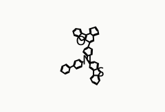 c1ccc(-c2ccc(N(c3ccc(-c4cc5ccccc5c5c4oc4ccccc45)cc3)c3ccc4sc5ccccc5c4c3)cc2)cc1